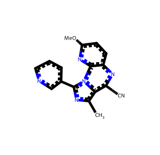 COc1ccc2nc(C#N)c3c(C)nc(-c4cccnc4)n3c2n1